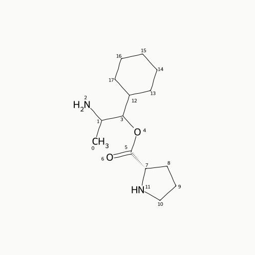 CC(N)C(OC(=O)[C@@H]1CCCN1)C1CCCCC1